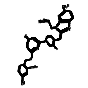 COCCn1c(Cc2ccc(-c3cc(F)cc(OCc4ccc(C#N)cc4OC)n3)cc2F)nc2ccc(C(=O)O)cc21